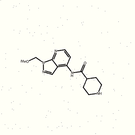 COCn1ncc2c(NC(=O)C3CCNCC3)ccnc21